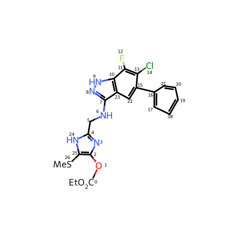 CCOC(=O)Oc1nc(CNc2n[nH]c3c(F)c(Cl)c(-c4ccccc4)cc23)[nH]c1SC